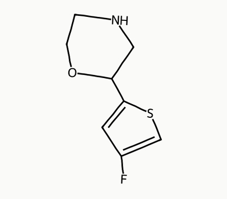 Fc1csc(C2CNCCO2)c1